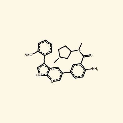 COc1ccccc1-c1c[nH]c2ncc(-c3ccc(N)c(C(=O)N(C)C4CCN(C)C4)c3)cc12